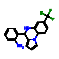 Nc1ccccc1C1Nc2cc(C(F)(F)F)ccc2-n2cccc21